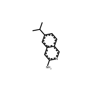 CC(C)c1ccc2cnc(N)cc2c1